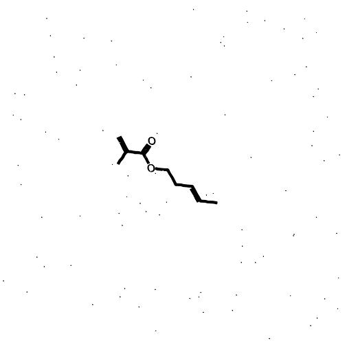 C=C(C)C(=O)OCCC=CC